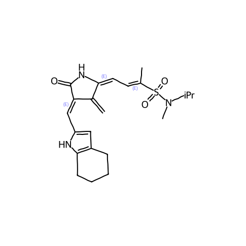 C=C1/C(=C\C=C(/C)S(=O)(=O)N(C)C(C)C)NC(=O)/C1=C/c1cc2c([nH]1)CCCC2